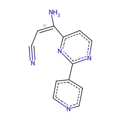 N#C/C=C(/N)c1ccnc(-c2ccncc2)n1